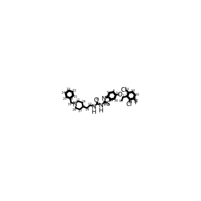 CC(Oc1ccc2nc(NC(=O)NCCC3CCN(Cc4ccccc4)CC3)sc2c1)c1c(Cl)ccc(F)c1Cl